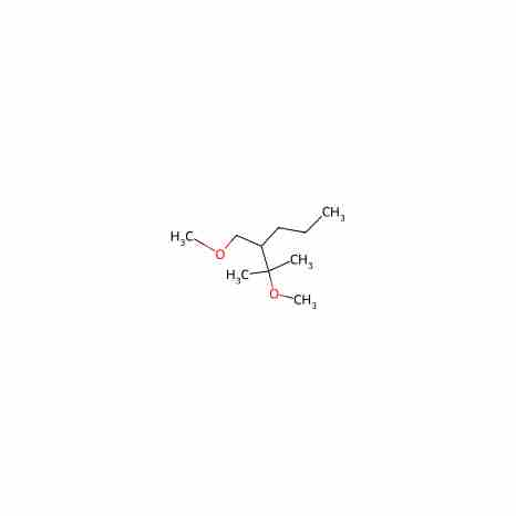 CCCC(COC)C(C)(C)OC